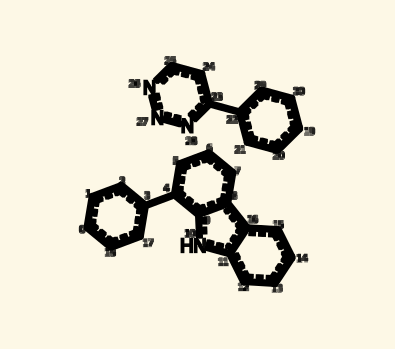 c1ccc(-c2cccc3c2[nH]c2ccccc23)cc1.c1ccc(-c2ccnnn2)cc1